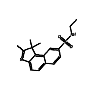 CCNS(=O)(=O)c1ccc2ccc3c(c2c1)C(C)(C)C(C)=N3